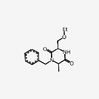 CCOC[C@H]1NC(=O)C(C)N(Cc2ccccc2)C1=O